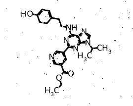 CCOC(=O)c1cncc(-c2nc(NCCC3=CC=C(O)CC3)c3ncn(C(C)C)c3n2)c1